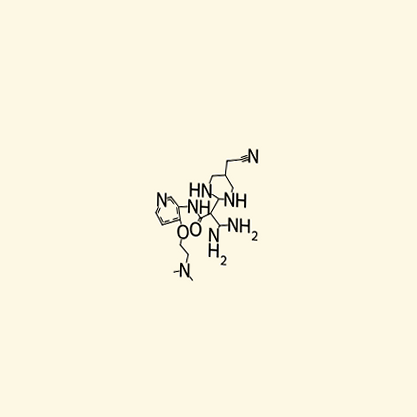 CN(C)CCOc1ccncc1NC(=O)C(C(N)N)C1NCC(CC#N)CN1